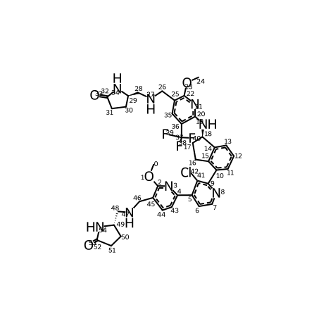 COc1nc(-c2ccnc(-c3cccc4c3CC[C@H]4Nc3nc(OC)c(CNC[C@H]4CCC(=O)N4)cc3C(F)(F)F)c2Cl)ccc1CNC[C@@H]1CCC(=O)N1